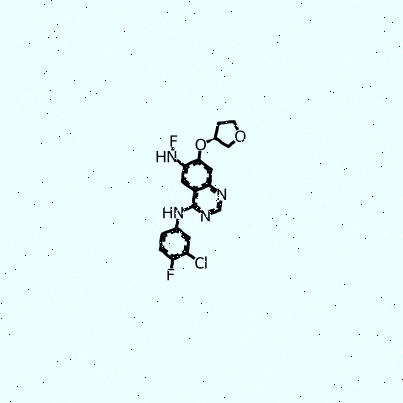 FNc1cc2c(Nc3ccc(F)c(Cl)c3)ncnc2cc1O[C@H]1CCOC1